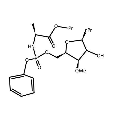 CCC[C@@H]1O[C@H](COP(=O)(N[C@@H](C)C(=O)OC(C)C)Oc2ccccc2)[C@H](OC)C1O